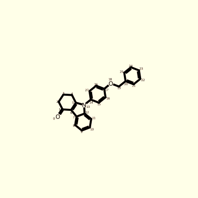 O=C1CCCc2c1c1ccccc1n2-c1ccc(OCc2ccccc2)cc1